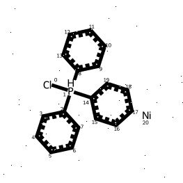 Cl[PH](c1ccccc1)(c1ccccc1)c1ccccc1.[Ni]